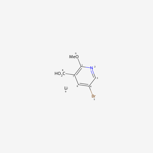 COc1ncc(Br)cc1C(=O)O.[Li]